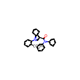 O=C(O)c1ccccc1-n1cc(C(=O)N(c2ccccc2)c2ccccc2)c2ccccc21